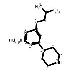 CC(C)COc1cc(N2CCNCC2)ncn1.Cl.Cl